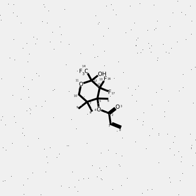 C=CC(=O)OC1(C)C(C)(C)COC(O)(C(F)(F)F)C1(F)F